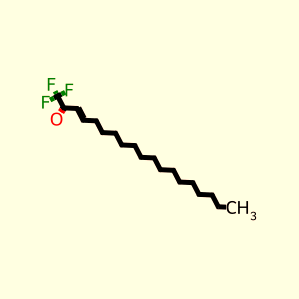 CCCCCCCCCCCCCCCC=CC(=O)C(F)(F)F